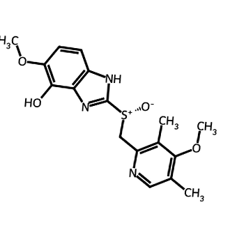 COc1ccc2[nH]c([S@+]([O-])Cc3ncc(C)c(OC)c3C)nc2c1O